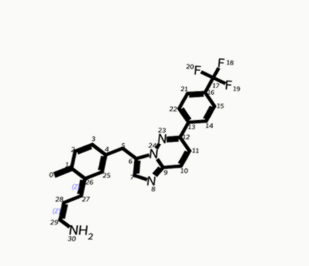 C=c1ccc(Cc2cnc3ccc(-c4ccc(C(F)(F)F)cc4)nn23)c/c1=C/C=C\N